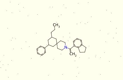 C=C(c1cccc2c1CCC2)N1CCC2(CC1)CC(CCC)CC(c1ccccc1)C2